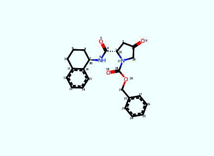 O=C1C[C@@H](C(=O)N[C@@H]2CCCc3ccccc32)N(C(=O)OCc2ccccc2)C1